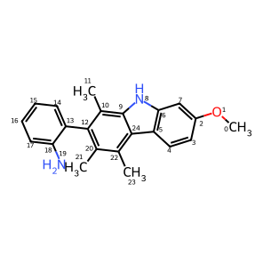 COc1ccc2c(c1)[nH]c1c(C)c(-c3ccccc3N)c(C)c(C)c12